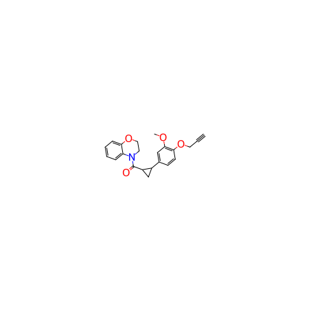 C#CCOc1ccc(C2CC2C(=O)N2CCOc3ccccc32)cc1OC